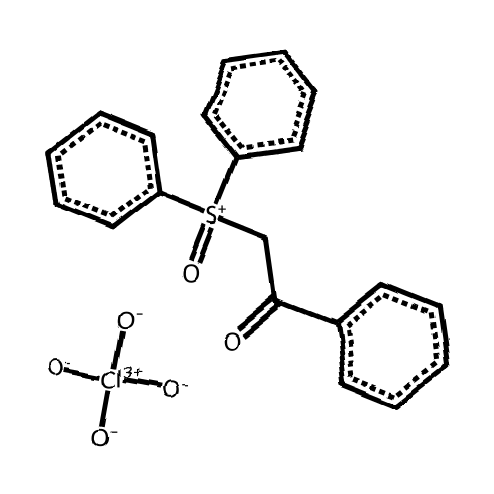 O=C(C[S+](=O)(c1ccccc1)c1ccccc1)c1ccccc1.[O-][Cl+3]([O-])([O-])[O-]